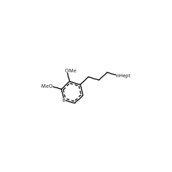 CCCCCCCCCCc1ccbc(OC)c1OC